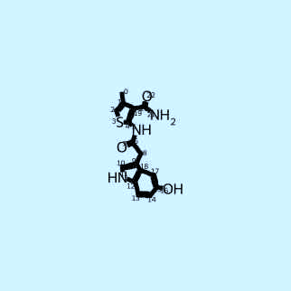 Cc1csc(NC(=O)Cc2c[nH]c3ccc(O)cc23)c1C(N)=O